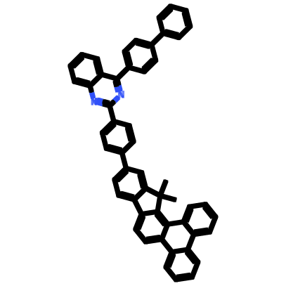 CC1(C)c2cc(-c3ccc(-c4nc(-c5ccc(-c6ccccc6)cc5)c5ccccc5n4)cc3)ccc2-c2ccc3c4ccccc4c4ccccc4c3c21